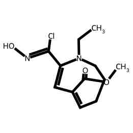 CCN1CCC/C=C(C(=O)OC)/C=C1/C(Cl)=N/O